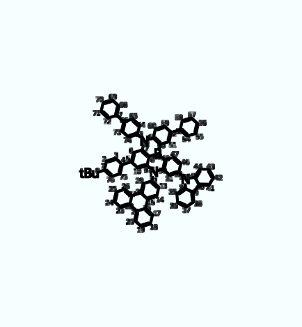 CC(C)(C)c1ccc(-c2cc3c4c(c2)N(c2ccc5c6ccccc6c6ccccc6c5c2)c2cc(-n5c6ccccc6c6ccccc65)ccc2B4c2cc(-c4ccccc4)ccc2N3c2ccc(-c3ccccc3)cc2)cc1